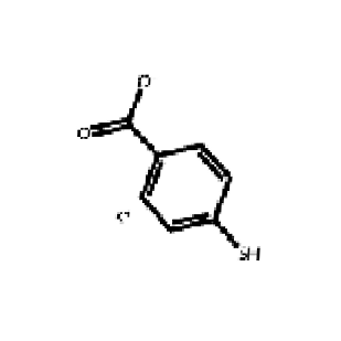 O=C([O-])c1ccc(S)cc1.[K+]